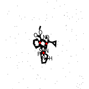 CCOC(=O)c1ccc2nc(N3C4CC[C@H]3CC(OCc3c(-c5ccccc5OC(F)F)noc3C3CC3)C4)sc2c1